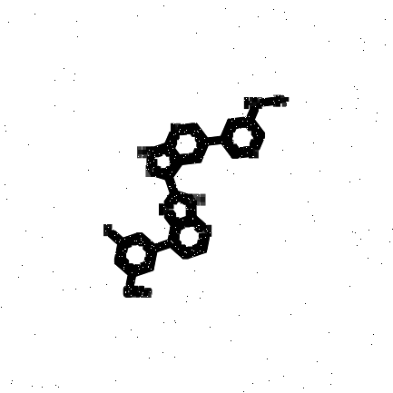 COc1cc(F)cc(-c2ccnc3[nH]c(-c4n[nH]c5ncc(-c6cncc(NC(C)C)c6)cc45)nc23)c1